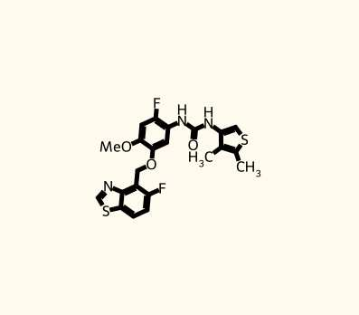 COc1cc(F)c(NC(=O)Nc2csc(C)c2C)cc1OCc1c(F)ccc2scnc12